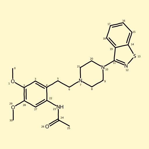 COc1cc(CCN2CCN(c3nsc4ccccc34)CC2)c(NC(C)=O)cc1OC